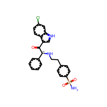 NS(=O)(=O)c1ccc(CCN[C@H](C(=O)c2c[nH]c3cc(Cl)ccc23)c2ccccc2)cc1